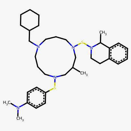 CC1CN(Sc2ccc(N(C)C)cc2)CCCN(CC2CCCCC2)CCCN(SN2CCc3ccccc3C2C)C1